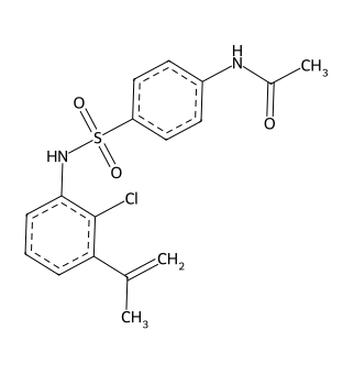 C=C(C)c1cccc(NS(=O)(=O)c2ccc(NC(C)=O)cc2)c1Cl